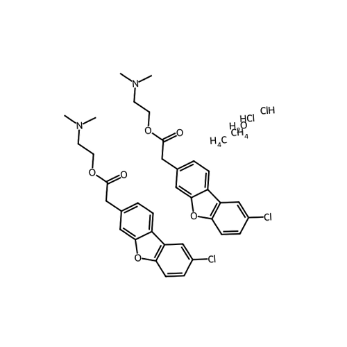 C.C.CN(C)CCOC(=O)Cc1ccc2c(c1)oc1ccc(Cl)cc12.CN(C)CCOC(=O)Cc1ccc2c(c1)oc1ccc(Cl)cc12.Cl.Cl.O